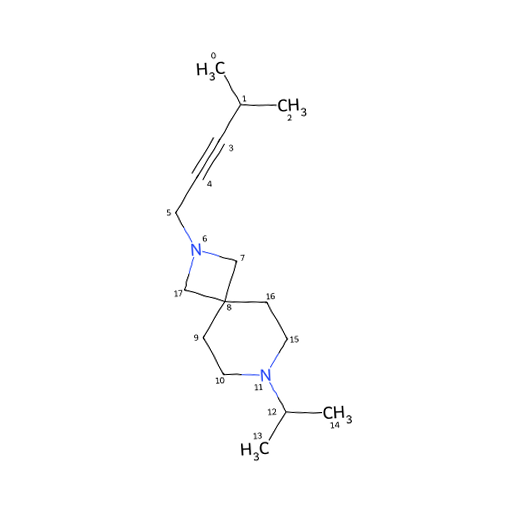 CC(C)C#CCN1CC2(CCN(C(C)C)CC2)C1